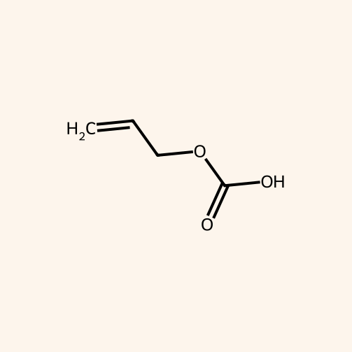 C=CCOC(=O)O